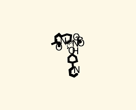 Cc1ccc2n(c1=O)[C@@H](COC1CCC(c3ccccn3)CC1)[C@@H](NS(C)(=O)=O)CC2